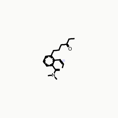 C=C(c1cccc(CCCC(=O)CC)c1/C=C\C)N(C)C